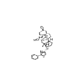 C[C@@]12C[C@H](O)[C@@H]3[C@@H](CCC4=CC(=O)CC[C@]43C)[C@@H]1CC[C@@H]2c1csc(-c2ccccc2)n1